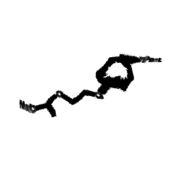 CCCCCc1ccc(OCCOC(C)OC)cc1